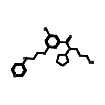 O=C(c1cc(Cl)cc(OCCNc2ccncc2)c1)N(CCCO)C1CCCC1